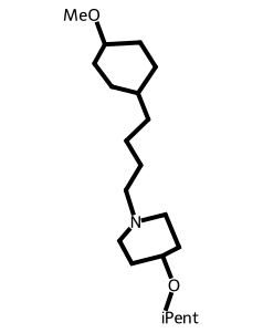 CCCC(C)OC1CCN(CCCCC2CCC(OC)CC2)CC1